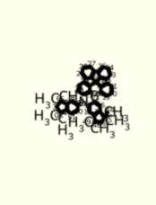 CC1(C)CC(C)(C)c2cc(N3c4cc5c(cc4B4c6ccccc6C(c6ccccc6)(c6ccccc6)c6cccc3c64)C(C)(C)CC5(C)C)ccc21